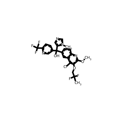 COc1nc2ccc(C(O)(c3ccc(C(F)(F)F)nc3)c3cncn3C)cc2c(Cl)c1OCC(C)(F)F